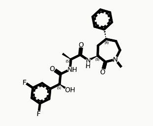 C[C@H](NC(=O)[C@@H](O)c1cc(F)cc(F)c1)C(=O)N[C@H]1C[C@H](c2ccccc2)CCN(C)C1=O